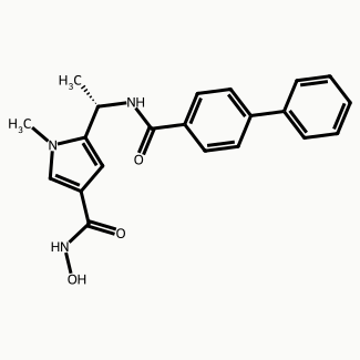 C[C@H](NC(=O)c1ccc(-c2ccccc2)cc1)c1cc(C(=O)NO)cn1C